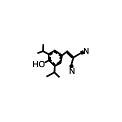 CC(C)c1cc(C=C(C#N)C#N)cc(C(C)C)c1O